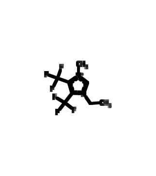 CCn1c[n+](C)c(C(F)(F)F)c1C(F)(F)F